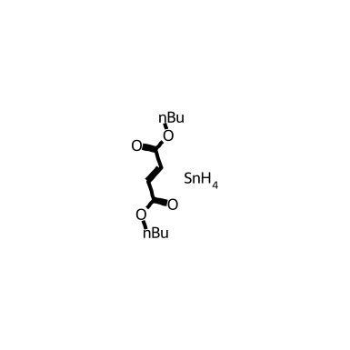 CCCCOC(=O)/C=C/C(=O)OCCCC.[SnH4]